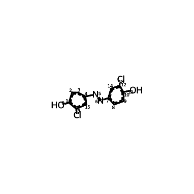 Oc1ccc(N=Nc2ccc(O)c(Cl)c2)cc1Cl